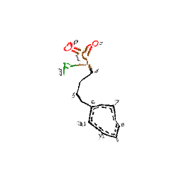 O=S(=O)(F)CCc1cc[c]cc1